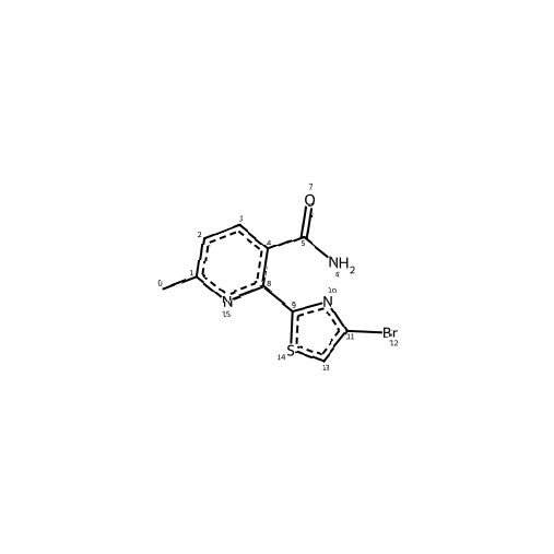 Cc1ccc(C(N)=O)c(-c2nc(Br)cs2)n1